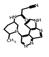 CC1CCC(NC(=O)CC#N)CN1c1cnnc2cnc3[nH]ccc3c12